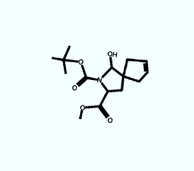 COC(=O)C1CC2(CC=CC2)C(O)N1C(=O)OC(C)(C)C